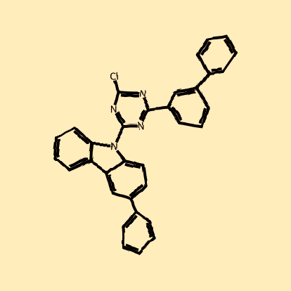 Clc1nc(-c2cccc(-c3ccccc3)c2)nc(-n2c3ccccc3c3cc(-c4ccccc4)ccc32)n1